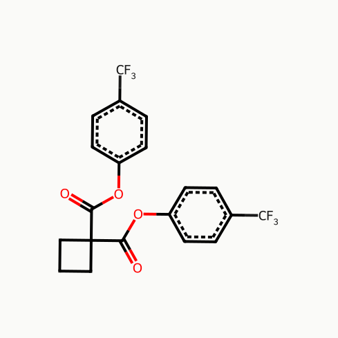 O=C(Oc1ccc(C(F)(F)F)cc1)C1(C(=O)Oc2ccc(C(F)(F)F)cc2)CCC1